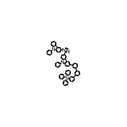 c1ccc(-n2c3ccc(-c4cccc(-c5cccc(-c6cccc([Si](c7ccccc7)(c7ccccc7)c7ccccc7)c6)c5)c4)cc3c3cc(-c4nccn4-c4ccc5c(c4)c4ccccc4n5-c4ccccc4)ccc32)cc1